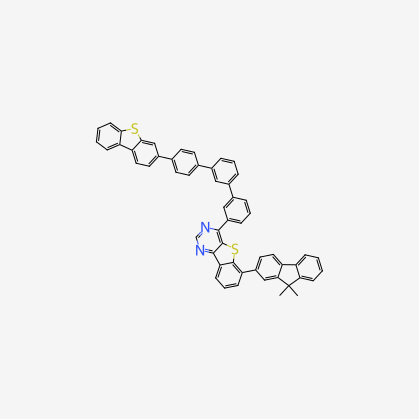 CC1(C)c2ccccc2-c2ccc(-c3cccc4c3sc3c(-c5cccc(-c6cccc(-c7ccc(-c8ccc9c(c8)sc8ccccc89)cc7)c6)c5)ncnc34)cc21